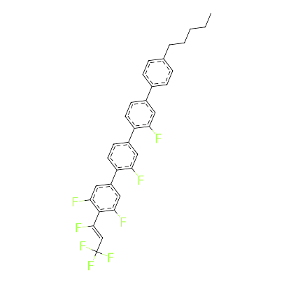 CCCCCc1ccc(-c2ccc(-c3ccc(-c4cc(F)c(/C(F)=C/C(F)(F)F)c(F)c4)c(F)c3)c(F)c2)cc1